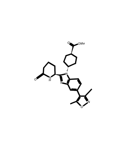 COC(=O)[C@H]1CC[C@H](n2c([C@@H]3CCCC(=O)N3)nc3cc(-c4c(C)noc4C)ccc32)CC1